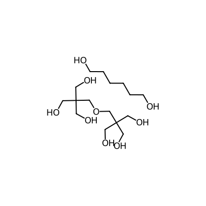 OCC(CO)(CO)COCC(CO)(CO)CO.OCCCCCCO